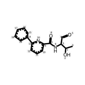 CC(O)C([C]=O)NC(=O)c1cccc(-c2ccccc2)n1